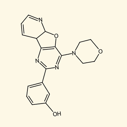 Oc1cccc(-c2nc3c(c(N4CCOCC4)n2)OC2N=CC=CC32)c1